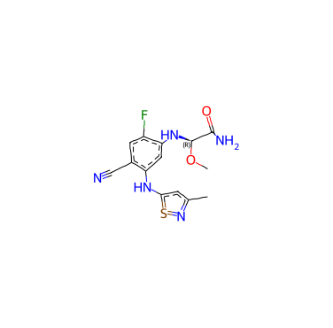 CO[C@@H](Nc1cc(Nc2cc(C)ns2)c(C#N)cc1F)C(N)=O